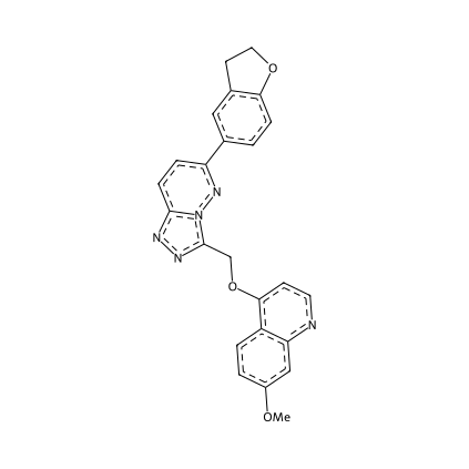 COc1ccc2c(OCc3nnc4ccc(-c5ccc6c(c5)CCO6)nn34)ccnc2c1